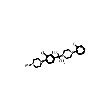 CC(C)N1CCN(c2ccc(C(C)(C)N3CCN(c4ccccc4F)CC3)cc2Cl)CC1